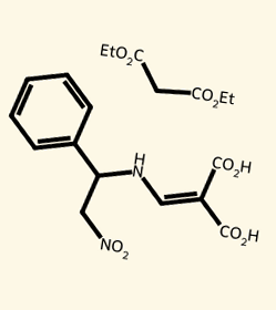 CCOC(=O)CC(=O)OCC.O=C(O)C(=CNC(C[N+](=O)[O-])c1ccccc1)C(=O)O